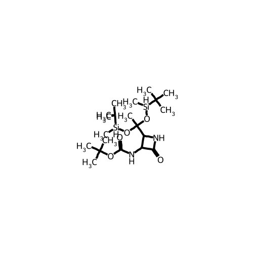 C[SiH](OC(C)(O[SiH](C)C(C)(C)C)C1NC(=O)C1NC(=O)OC(C)(C)C)C(C)(C)C